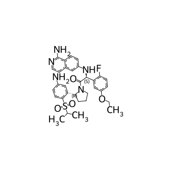 CCOc1ccc(F)c([C@H](Nc2ccc3c(N)nccc3c2)C(=O)N2CCC[C@@H]2c2cc(N)ccc2S(=O)(=O)C(C)C)c1